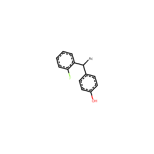 CC(=O)C(c1ccc(O)cc1)c1ccccc1F